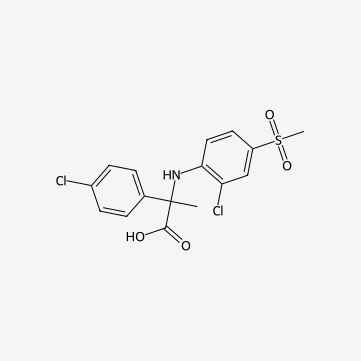 CC(Nc1ccc(S(C)(=O)=O)cc1Cl)(C(=O)O)c1ccc(Cl)cc1